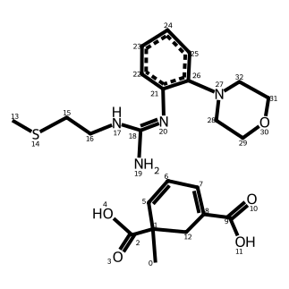 CC1(C(=O)O)C=CC=C(C(=O)O)C1.CSCCNC(N)=Nc1ccccc1N1CCOCC1